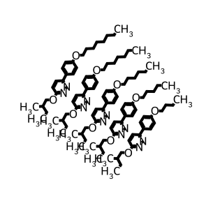 CCCCCCCCOc1ccc(-c2ccc(OCC(C)CC)nn2)cc1.CCCCCCCOc1ccc(-c2ccc(OCC(C)CC)nn2)cc1.CCCCCCOc1ccc(-c2ccc(OCC(C)CC)nn2)cc1.CCCCCOc1ccc(-c2ccc(OCC(C)CC)nn2)cc1.CCCCOc1ccc(-c2ccc(OCC(C)CC)nn2)cc1